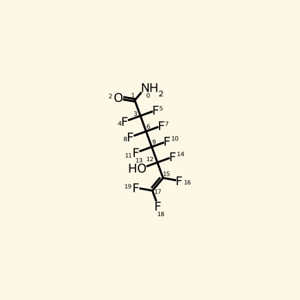 NC(=O)C(F)(F)C(F)(F)C(F)(F)C(O)(F)C(F)=C(F)F